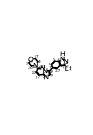 CCc1n[nH]c2ccc(-c3cnc4ccc(N5CCOCC5)nn34)cc12